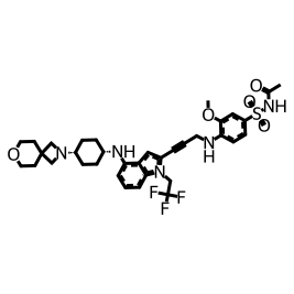 COc1cc(S(=O)(=O)NC(C)=O)ccc1NCC#Cc1cc2c(N[C@H]3CC[C@@H](N4CC5(CCOCC5)C4)CC3)cccc2n1CC(F)(F)F